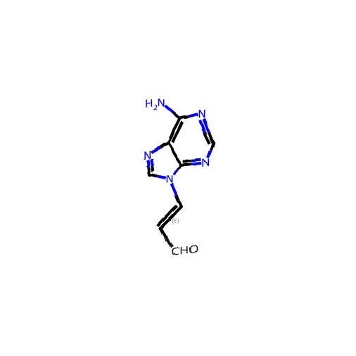 Nc1ncnc2c1ncn2/C=C/C=O